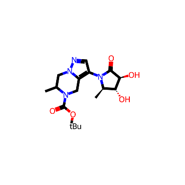 CC1Cn2ncc(N3C(=O)[C@@H](O)[C@H](O)[C@H]3C)c2CN1C(=O)OC(C)(C)C